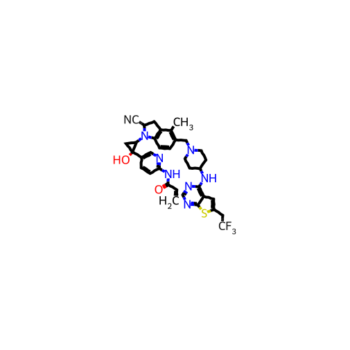 C=CC(=O)Nc1ccc(C2(O)CC2N2c3ccc(CN4CCC(Nc5ncnc6sc(CC(F)(F)F)cc56)CC4)c(C)c3CC2C#N)cn1